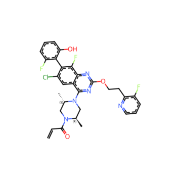 C=CC(=O)N1C[C@H](C)N(c2nc(OCCc3ncccc3F)nc3c(F)c(-c4c(O)cccc4F)c(Cl)cc23)C[C@H]1C